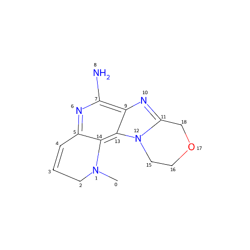 CN1CC=Cc2nc(N)c3nc4n(c3c21)CCOC4